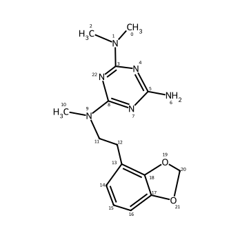 CN(C)c1nc(N)nc(N(C)CCc2cccc3c2OCO3)n1